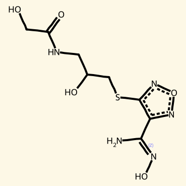 N/C(=N\O)c1nonc1SCC(O)CNC(=O)CO